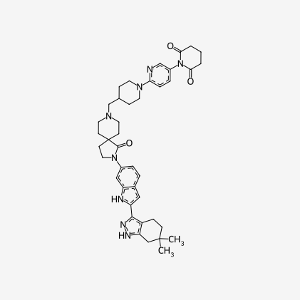 CC1(C)CCc2c(-c3cc4ccc(N5CCC6(CCN(CC7CCN(c8ccc(N9C(=O)CCCC9=O)cn8)CC7)CC6)C5=O)cc4[nH]3)n[nH]c2C1